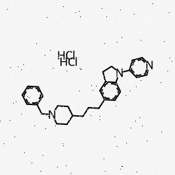 Cl.Cl.c1ccc(CN2CCC(CCCc3ccc4c(c3)CCN4c3ccncc3)CC2)cc1